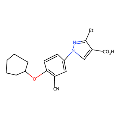 CCc1nn(-c2ccc(OC3CCCCC3)c(C#N)c2)cc1C(=O)O